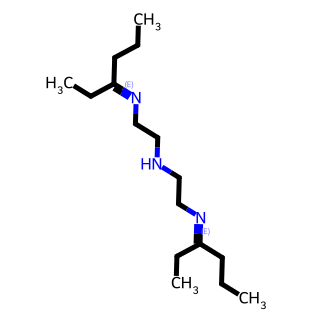 CCC/C(CC)=N/CCNCC/N=C(\CC)CCC